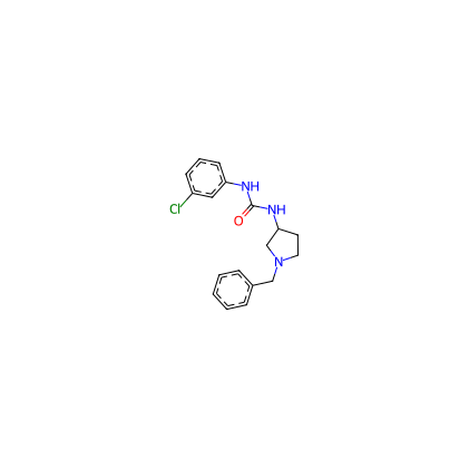 O=C(Nc1cccc(Cl)c1)NC1CCN(Cc2ccccc2)C1